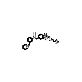 C[Si](C)(C)CCOCn1nc2ccc(CNc3cccc(CN4CCCCC4)c3)cc2n1